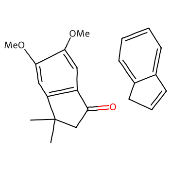 C1=Cc2ccccc2C1.COc1cc2c(cc1OC)C(C)(C)CC2=O